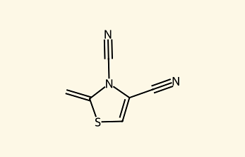 C=C1SC=C(C#N)N1C#N